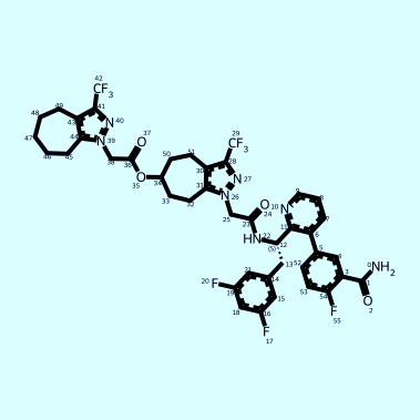 NC(=O)c1cc(-c2cccnc2[C@H](Cc2cc(F)cc(F)c2)NC(=O)Cn2nc(C(F)(F)F)c3c2CCC(OC(=O)Cn2nc(C(F)(F)F)c4c2CCCCC4)CC3)ccc1F